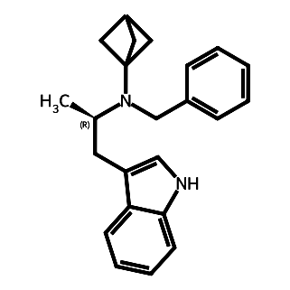 C[C@H](Cc1c[nH]c2ccccc12)N(Cc1ccccc1)C12CC(C1)C2